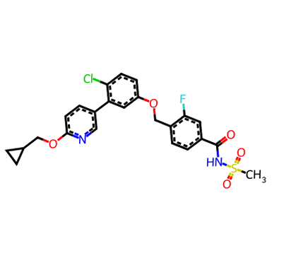 CS(=O)(=O)NC(=O)c1ccc(COc2ccc(Cl)c(-c3ccc(OCC4CC4)nc3)c2)c(F)c1